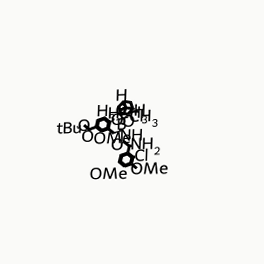 COc1ccc(C(N)C(=O)N[C@@H](Cc2cccc(C(=O)OC(C)(C)C)c2OC)B2O[C@@H]3C[C@@H]4C[C@@H](C4(C)C)[C@]3(C)O2)c(Cl)c1OC